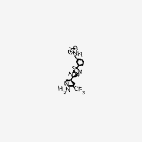 CS(=O)(=O)NCc1cccc(-c2nn3cc(-c4cnc(N)c(C(F)(F)F)c4)nc3s2)c1